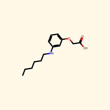 CCCCCCNc1cccc(OCC(=O)O)c1